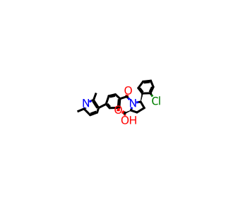 Cc1ccc(-c2ccc(C(=O)N3[C@@H](c4ccccc4Cl)CC[C@H]3C(=O)O)cc2)c(C)n1